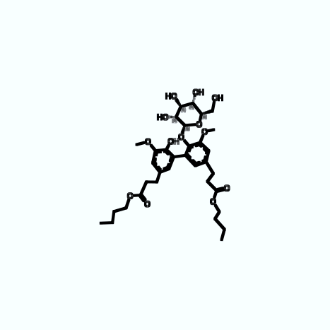 CCCCOC(=O)CCc1cc(OC)c(O)c(-c2cc(CCC(=O)OCCCC)cc(OC)c2O[C@@H]2O[C@H](CO)[C@@H](O)[C@H](O)[C@H]2O)c1